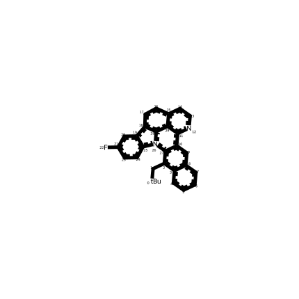 CC(C)(C)Cc1c2ccccc2cc2c3nccc4ccc5c6cc(F)ccc6n(c12)c5c43